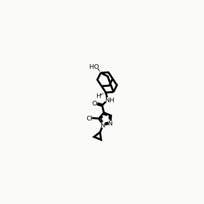 O=C(N[C@H]1C2CC3CC1C[C@](O)(C3)C2)c1cnn(C2CC2)c1Cl